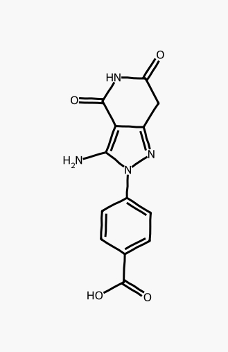 Nc1c2c(nn1-c1ccc(C(=O)O)cc1)CC(=O)NC2=O